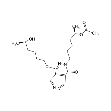 CC(=O)O[C@H](C)CCCCn1nc(OCCCC[C@@H](C)O)c2cnncc2c1=O